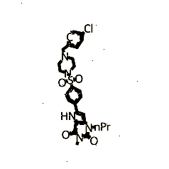 CCCn1c(=O)n(C)c(=O)c2[nH]c(-c3ccc(S(=O)(=O)N4CCN(Cc5ccc(Cl)cc5)CC4)cc3)cc21